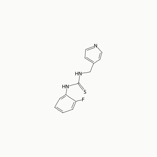 Fc1ccccc1NC(=S)NCc1ccncc1